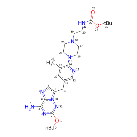 CCCCOc1nc(N)c2ncc(Cc3cnc(N4CCN(CCNC(=O)OC(C)(C)C)CC4)c(C)c3)n2n1